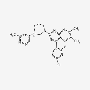 Cc1cc([C@H]2CN(c3nc(-c4ccc(Cl)cc4F)c4cc(C)c(C)nc4n3)CCO2)cnn1